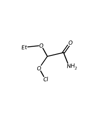 CCOC(OCl)C(N)=O